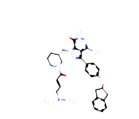 CN(C)C/C=C/C(=O)N1CCC[C@@H](Cn2nc(-c3ccc(OC4Cc5ccccc5C4)cc3)c3c(N)n[nH]c(=O)c32)C1